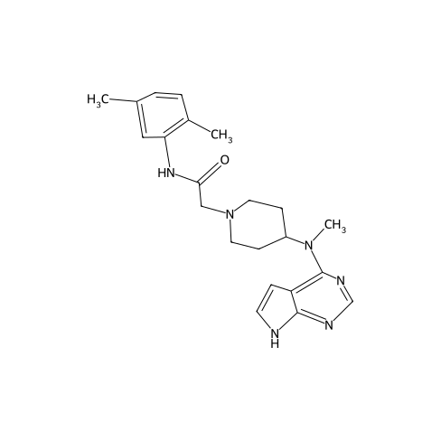 Cc1ccc(C)c(NC(=O)CN2CCC(N(C)c3ncnc4[nH]ccc34)CC2)c1